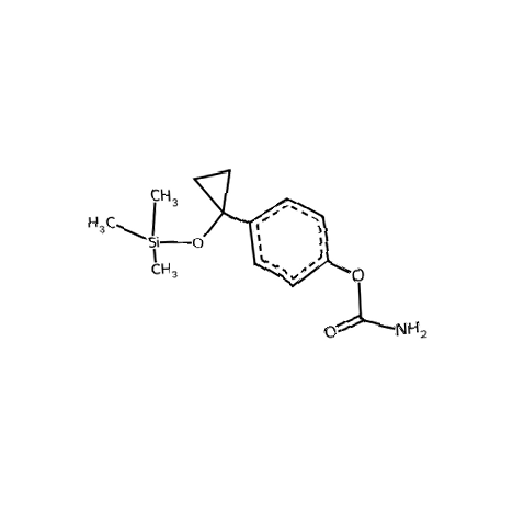 C[Si](C)(C)OC1(c2ccc(OC(N)=O)cc2)CC1